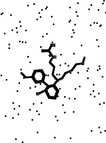 CCc1cccc(-c2c(Cl)cccc2N(CCCCOC)CCCNC(=O)O)c1